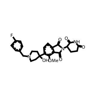 COc1c(C2(O)CCN(Cc3ccc(F)cc3)CC2)ccc2c1C(=O)N(C1CCC(=O)NC1=O)C2=O